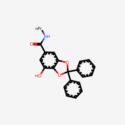 CCCNC(=O)c1cc(O)c2c(c1)OC(c1ccccc1)(c1ccccc1)O2